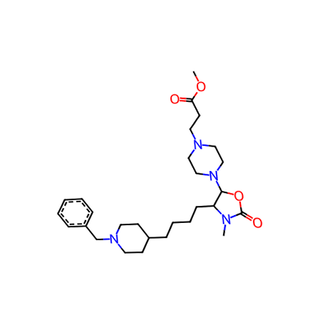 COC(=O)CCN1CCN(C2OC(=O)N(C)C2CCCCC2CCN(Cc3ccccc3)CC2)CC1